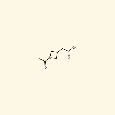 CC(=O)N1CC(CC(=O)O)C1